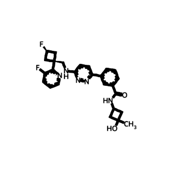 CC1(O)CC(NC(=O)c2cccc(-c3ccc(NC[C@]4(c5ncccc5F)C[C@H](F)C4)nn3)c2)C1